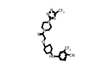 N#Cc1ccc(NC2CCC(OCC(=S)N3CCN(c4nnc(C(F)(F)F)s4)CC3)CC2)cc1C(F)(F)F